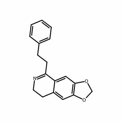 c1ccc(CCC2=NCCc3cc4c(cc32)OCO4)cc1